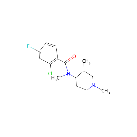 CC1CN(C)CCC1N(C)C(=O)c1ccc(F)cc1Cl